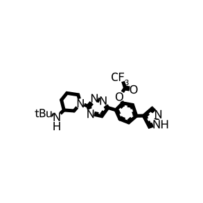 CC(C)(C)NC1CCCN(c2ncc(-c3ccc(-c4cn[nH]c4)cc3OC(=O)C(F)(F)F)nn2)C1